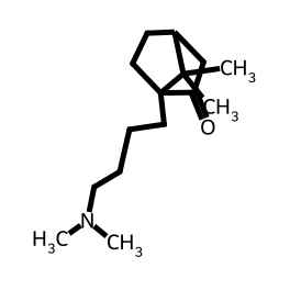 CN(C)CCCCC12CCC(CC1=O)C2(C)C